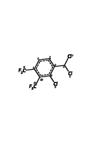 FC(F)(F)c1c[c]c(C(Cl)Cl)c(Cl)c1C(F)(F)F